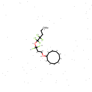 COCCC(F)(F)C(F)(F)OC(F)(F)CCOC1CCCCCCCCC1